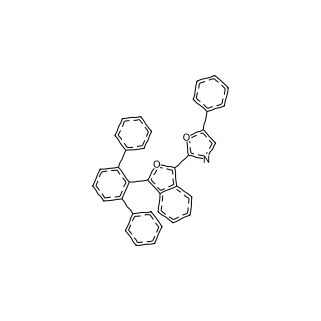 c1ccc(-c2cnc(-c3oc(-c4c(-c5ccccc5)cccc4-c4ccccc4)c4ccccc34)o2)cc1